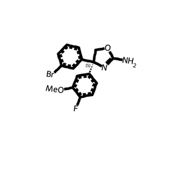 COc1cc([C@]2(c3cccc(Br)c3)COC(N)=N2)ccc1F